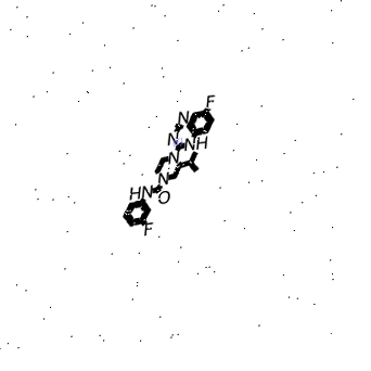 CC(C)C1CN(C(=O)Nc2cccc(F)c2)CCN1/C(=N/C#N)Nc1ccc(F)cc1